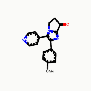 COc1ccc(-c2nc3n(c2-c2ccncc2)CCC3=O)cc1